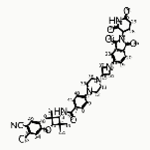 CC1(C)[C@H](NC(=O)c2ccc(N3CCN(C4CN(c5ccc6c(c5)C(=O)N(C5CCC(=O)NC5=O)C6=O)C4)CC3)cc2)C(C)(C)[C@H]1Oc1ccc(C#N)c(Cl)c1